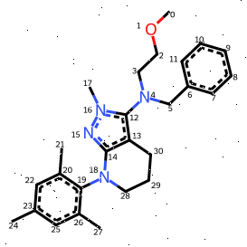 COCCN(Cc1ccccc1)c1c2c(nn1C)N(c1c(C)cc(C)cc1C)CCC2